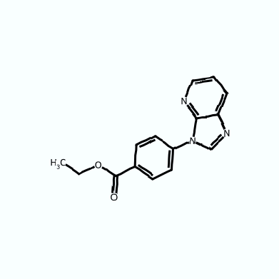 CCOC(=O)c1ccc(-n2cnc3cccnc32)cc1